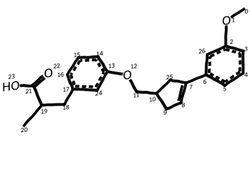 COc1cccc(C2=CCC(COc3cccc(CC(C)C(=O)O)c3)C2)c1